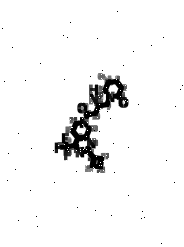 C[C@@H]1CCC(=O)N(C[C@H](N)CC(=O)N2CCc3c(nc(C4=CC=C4)nc3C(F)(F)F)C2)C1